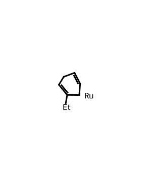 CCC1=CCC=CC1.[Ru]